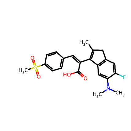 CC1=C(C(=Cc2ccc(S(C)(=O)=O)cc2)C(=O)O)c2cc(N(C)C)c(F)cc2C1